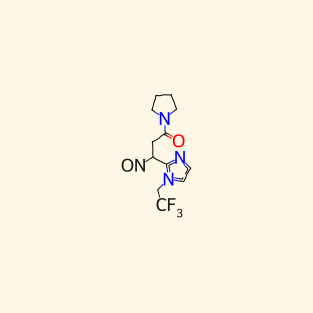 O=NC(CC(=O)N1CCCC1)c1nccn1CC(F)(F)F